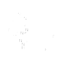 O=C(Nc1n[nH]c2ccc(Cc3cc(F)cc(F)c3)cc12)c1cc(C(=O)N2CCC[C@H]2CN2CCCC2)ccc1F